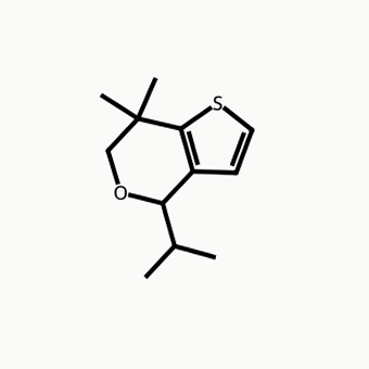 CC(C)C1OCC(C)(C)c2sccc21